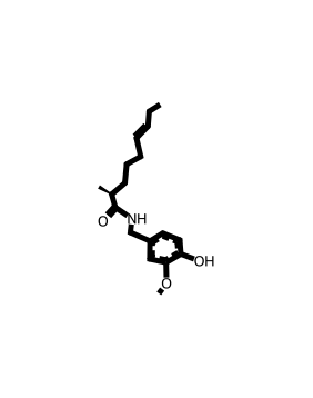 CC/C=C/CCC[C@H](C)C(=O)NCc1ccc(O)c(OC)c1